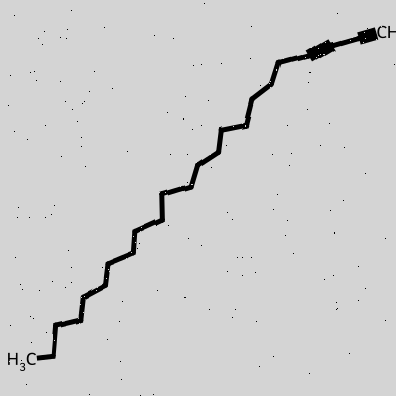 C#CC#CCCCCCCCCCCCCCCCCCCC